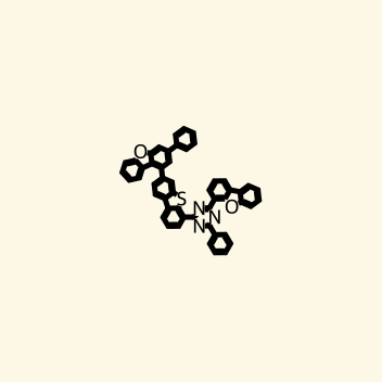 c1ccc(-c2cc(-c3ccc4c(c3)sc3c(-c5nc(-c6ccccc6)nc(-c6cccc7c6oc6ccccc67)n5)cccc34)c3c(c2)oc2ccccc23)cc1